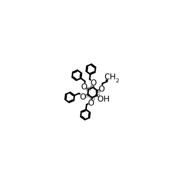 C=CCO[C@H]1[C@@H](O)[C@@H](OCc2ccccc2)[C@H](OCc2ccccc2)[C@@H](OCc2ccccc2)[C@@H]1OCc1ccccc1